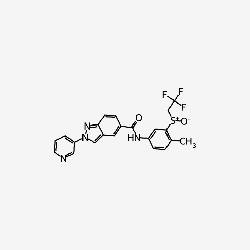 Cc1ccc(NC(=O)c2ccc3nn(-c4cccnc4)cc3c2)cc1[S+]([O-])CC(F)(F)F